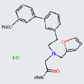 CNC(=O)CN(CCc1cccc(-c2cccc(OC)c2)c1)Cc1ccco1.Cl